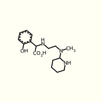 CN(CCNC(C(=O)O)c1ccccc1O)C1CCCCN1